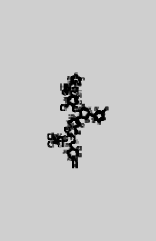 Cc1cccc(-c2ccc(Oc3cc(F)c(S(=O)(=O)Nc4cscn4)cc3Cl)c(-c3ccnc(CN(CCC4CCNCC4)C(=O)OCC(Cl)(Cl)Cl)c3)c2)c1